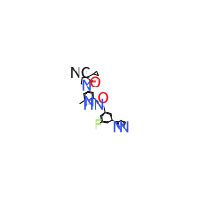 Cc1cc(N2CC[C@@](C#N)(C3CC3)C2=O)cc(C(=O)NCc2cc(F)cc(-c3ccn(C)n3)c2)n1